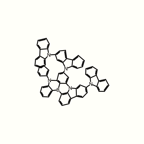 c1ccc(N2c3ccccc3B3c4c2cc(-n2c5ccccc5c5ccc(-n6c7ccccc7c7ccccc76)cc52)cc4-n2c4cc(-n5c6ccccc6c6ccccc65)ccc4c4cccc3c42)cc1